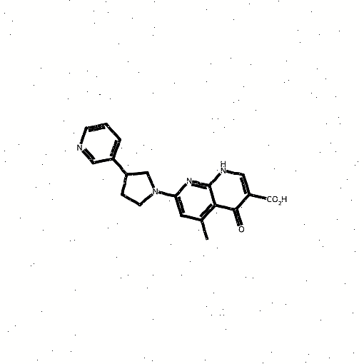 Cc1cc(N2CCC(c3cccnc3)C2)nc2[nH]cc(C(=O)O)c(=O)c12